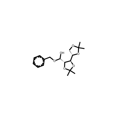 CC1(C)OC[C@@H]([C@H]2OC(C)(C)O[C@@H]2C(O)OCc2ccccc2)O1